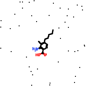 CCCCCc1ccc(C(=O)O)c(N)c1C